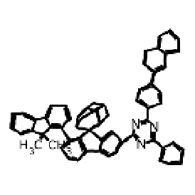 CC1(C)c2ccccc2-c2cccc(-c3cccc4c3C3(c5cc(-c6nc(-c7ccccc7)nc(-c7ccc(-c8ccc9ccccc9c8)cc7)n6)ccc5-4)C4CC5CC(C4)CC3C5)c21